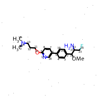 COC(c1ccc(-c2ccc(OCCCN(C)C)nc2)cc1)C(N)CF